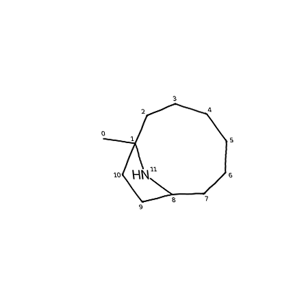 CC12CCCCCCC(CC1)N2